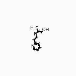 CC(CO)=NCCc1ccccn1